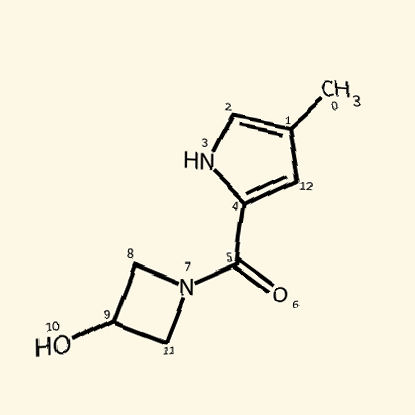 Cc1c[nH]c(C(=O)N2CC(O)C2)c1